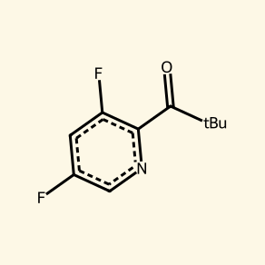 CC(C)(C)C(=O)c1ncc(F)cc1F